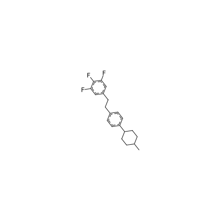 CC1CCC(c2ccc(CCc3cc(F)c(F)c(F)c3)cc2)CC1